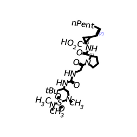 CCCCC/C=C\C1C[C@]1(NC(=O)[C@@H]1CCCN1C(=O)CNC(=O)NC(CN(C)S(=O)(=O)N(C)C)C(C)(C)C)C(=O)O